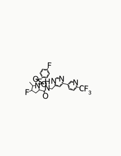 CC1C(F)CC(C(=O)NCc2cc(-c3ccc(C(F)(F)F)nc3)ncn2)N1S(=O)(=O)c1ccc(F)cc1